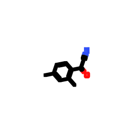 Cc1ccc(C(=O)C#N)c(C)c1